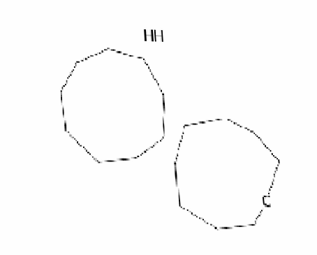 C1CCCCCCCC1.C1CCCCCCCC1.[HH]